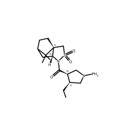 CC[C@@H]1CN(P)C[C@@H]1C(=O)N1[C@@H]2CC3CC[C@]2(CS1(=O)=O)C3(C)C